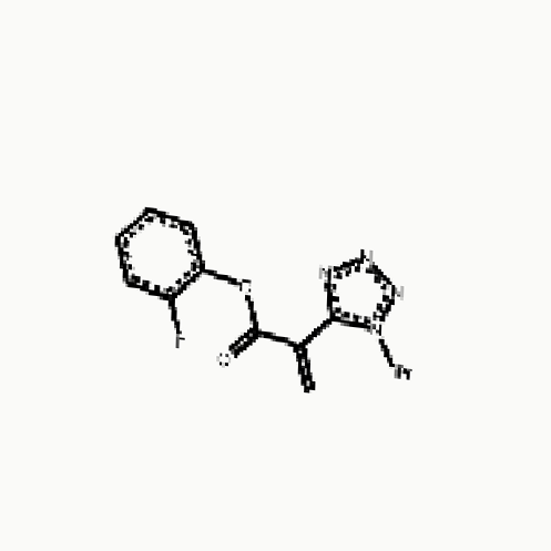 C=C(C(=O)Oc1ccccc1F)c1nnnn1C(C)C